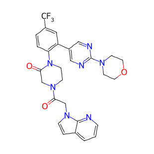 O=C(Cn1ccc2cccnc21)N1CCN(c2ccc(C(F)(F)F)cc2-c2cnc(N3CCOCC3)nc2)C(=O)C1